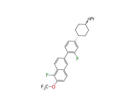 CCC[C@H]1CC[C@H](c2ccc(-c3ccc4c(F)c(OC(F)(F)F)ccc4c3)c(F)c2)CC1